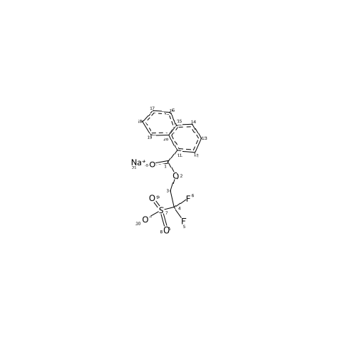 O=C(OCC(F)(F)S(=O)(=O)[O-])c1cccc2ccccc12.[Na+]